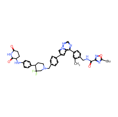 Cc1cc(-c2ncnn3cc(-c4ccc(CN5CCC(c6ccc(NC7CCC(=O)NC7=O)cc6)C(F)(F)C5)cc4)cc23)ccc1CNC(=O)c1noc(C(C)(C)C)n1